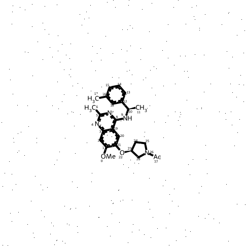 COc1cc2nc(C)nc(N[C@H](C)c3cccc(C)c3)c2cc1O[C@H]1CCN(C(C)=O)C1